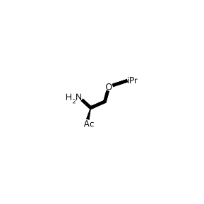 CC(=O)[C@@H](N)COC(C)C